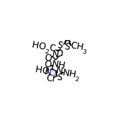 Cc1ccc(SC2=C(C(=O)O)N3C(=O)C(NC(=O)/C(=N\O)c4nc(N)sc4Cl)C3CC2)s1